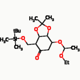 CCOC(C)OC1CC(=O)C(CO[Si](C)(C)C(C)(C)C)C2OC(C)(C)OC12